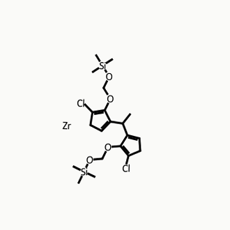 CC(C1=CCC(Cl)=C1OCO[Si](C)(C)C)C1=CCC(Cl)=C1OCO[Si](C)(C)C.[Zr]